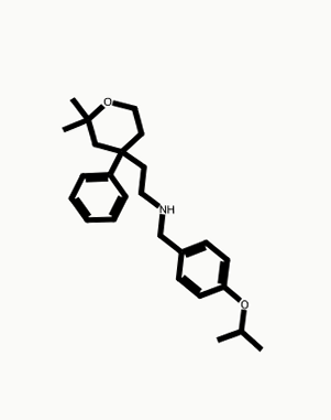 CC(C)Oc1ccc(CNCCC2(c3ccccc3)CCOC(C)(C)C2)cc1